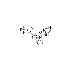 O=C(Nc1ccncn1)N1c2nc(N3CCCC(C(F)(F)F)C3)ccc2N2CCCC1C2